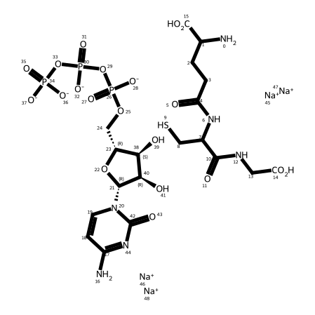 NC(CCC(=O)NC(CS)C(=O)NCC(=O)O)C(=O)O.Nc1ccn([C@@H]2O[C@H](COP(=O)([O-])OP(=O)([O-])OP(=O)([O-])[O-])[C@@H](O)[C@H]2O)c(=O)n1.[Na+].[Na+].[Na+].[Na+]